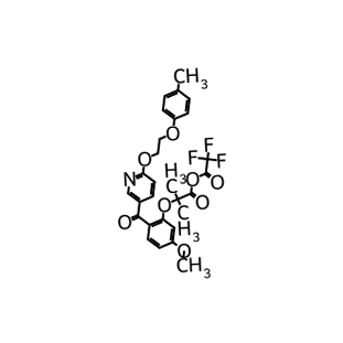 COc1ccc(C(=O)c2ccc(OCCOc3ccc(C)cc3)nc2)c(OC(C)(C)C(=O)OC(=O)C(F)(F)F)c1